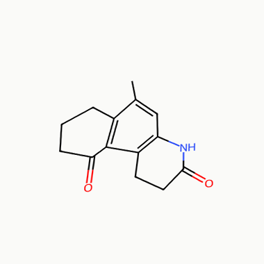 Cc1cc2c(c3c1CCCC3=O)CCC(=O)N2